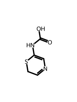 O=C(O)NC1=CN=CCS1